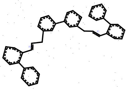 C(=C\c1ccccc1-c1ccccc1)/Cc1cccc(-c2cccc(C/C=C/c3ccccc3-c3ccccc3)c2)c1